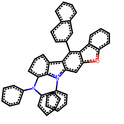 c1ccc(N(c2ccccc2)c2cccc3c4c(-c5ccc6ccccc6c5)c5c(cc4n(-c4ccccc4)c23)oc2ccccc25)cc1